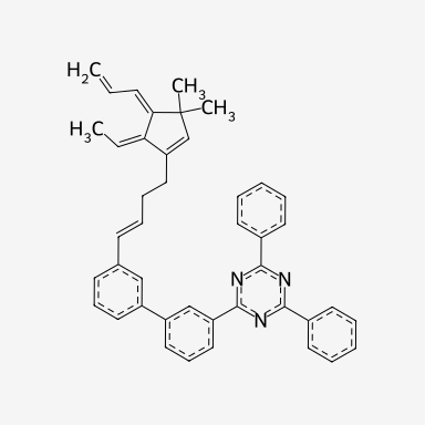 C=C/C=C1\C(=C/C)C(CC/C=C/c2cccc(-c3cccc(-c4nc(-c5ccccc5)nc(-c5ccccc5)n4)c3)c2)=CC1(C)C